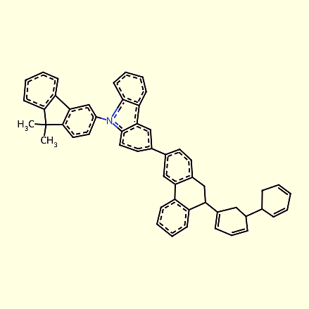 CC1(C)c2ccccc2-c2cc(-n3c4ccccc4c4cc(-c5ccc6c(c5)-c5ccccc5C(C5=CC=CC(C7C=CC=CC7)C5)C6)ccc43)ccc21